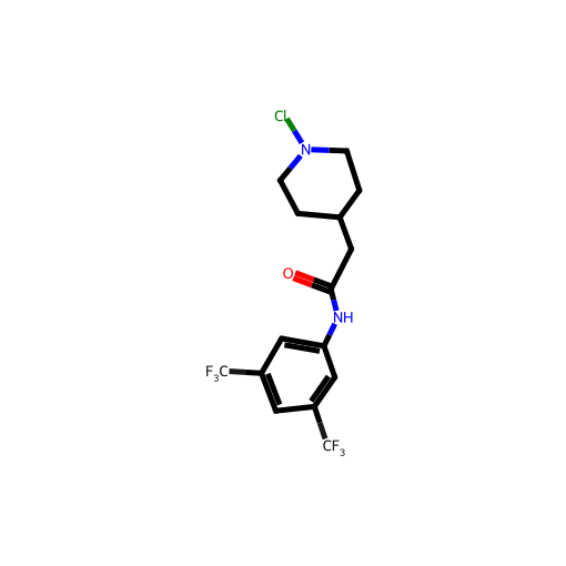 O=C(CC1CCN(Cl)CC1)Nc1cc(C(F)(F)F)cc(C(F)(F)F)c1